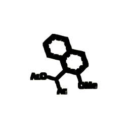 COc1ccc2ccccc2c1C(OC(C)=O)C(C)=O